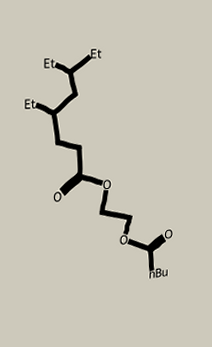 CCCCC(=O)OCCOC(=O)CCC(CC)CC(CC)CC